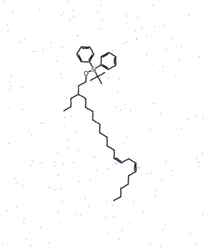 CCCCC/C=C\C/C=C\CCCCCCCCCC(CCC)CCO[Si](c1ccccc1)(c1ccccc1)C(C)(C)C